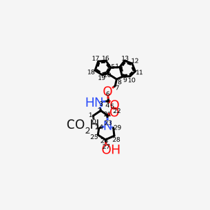 O=C(O)CC(NC(=O)OCC1c2ccccc2-c2ccccc21)C(=O)N1CCC(O)CC1